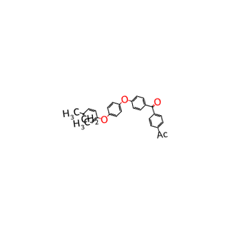 C=C(C)/C=C\C(=C/C)Oc1ccc(Oc2ccc(C(=O)c3ccc(C(C)=O)cc3)cc2)cc1